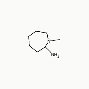 CN1CCCCCC1N